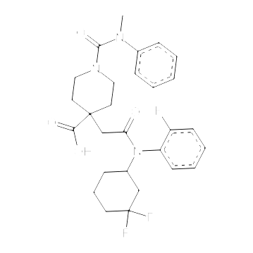 CN(C(=O)N1CCC(CC(=O)N(c2ccccc2F)C2CCCC(F)(F)C2)(C(=O)O)CC1)c1ccccc1